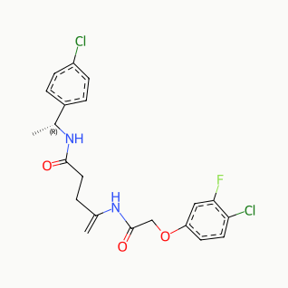 C=C(CCC(=O)N[C@H](C)c1ccc(Cl)cc1)NC(=O)COc1ccc(Cl)c(F)c1